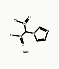 O=[N+]([O-])C(n1ccnc1)[N+](=O)[O-].[NaH]